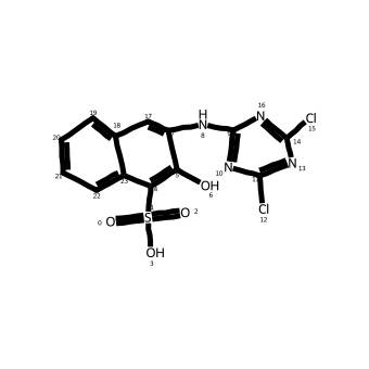 O=S(=O)(O)c1c(O)c(Nc2nc(Cl)nc(Cl)n2)cc2ccccc12